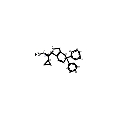 O/N=C(/C1=NCC2=C1C=CC(c1ccccc1)(c1ccccc1)C2)C1CC1